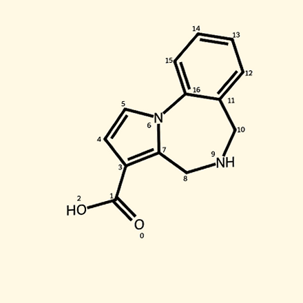 O=C(O)c1ccn2c1CNCc1ccccc1-2